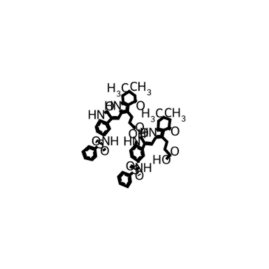 CC1(C)CC(=O)c2c([nH]c(/C=C3\C(=O)Nc4ccc(NS(=O)(=O)c5ccccc5)cc43)c2CCC(=O)O)C1.CC1(C)CC(=O)c2c([nH]c(/C=C3\C(=O)Nc4ccc(NS(=O)(=O)c5ccccc5)cc43)c2CCC(=O)O)C1